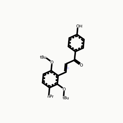 CCCc1ccc(OC(C)(C)C)c(/C=C/C(=O)c2ccc(O)cc2)c1OC(C)(C)C